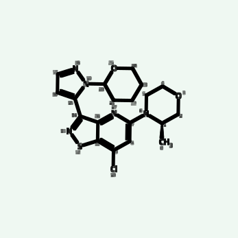 C[C@@H]1COCCN1c1cc(Cl)c2snc(-c3ccnn3C3CCCCO3)c2n1